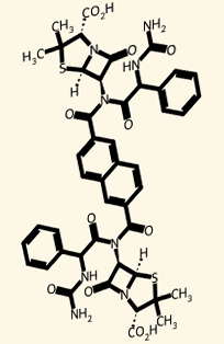 CC1(C)S[C@@H]2[C@H](N(C(=O)c3ccc4cc(C(=O)N(C(=O)C(NC(N)=O)c5ccccc5)[C@@H]5C(=O)N6[C@@H]5SC(C)(C)[C@@H]6C(=O)O)ccc4c3)C(=O)C(NC(N)=O)c3ccccc3)C(=O)N2[C@H]1C(=O)O